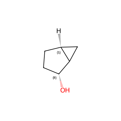 O[C@@H]1CC[C@H]2CC21